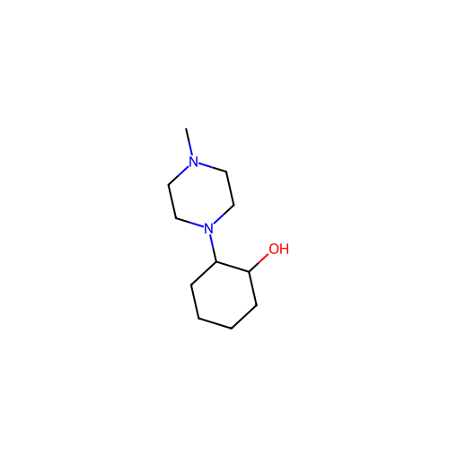 CN1CCN(C2CCCCC2O)CC1